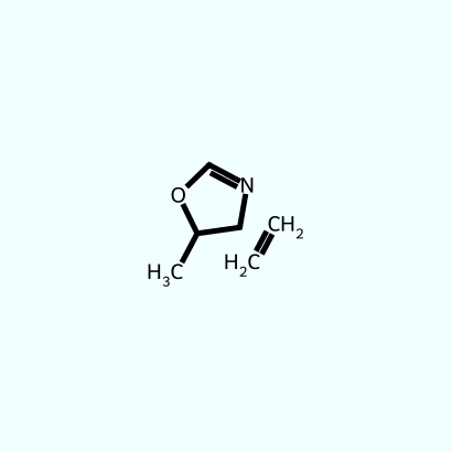 C=C.CC1CN=CO1